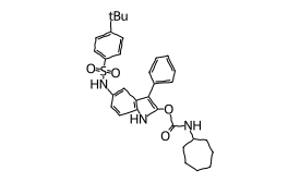 CC(C)(C)c1ccc(S(=O)(=O)Nc2ccc3[nH]c(OC(=O)NC4CCCCCC4)c(-c4ccccc4)c3c2)cc1